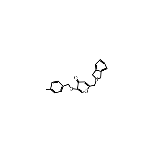 Cc1ccc(COc2coc(CN3Cc4ccccc4C3)cc2=O)cc1